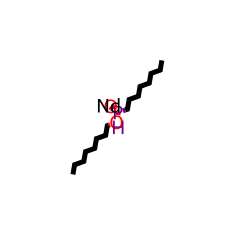 CCCCCCCCO[PH](=O)CCCCCCCC.[Nd]